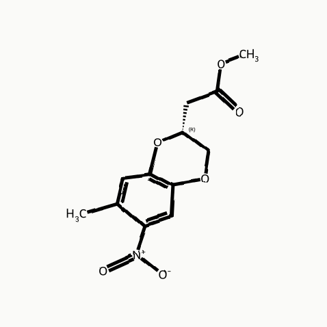 COC(=O)C[C@@H]1COc2cc([N+](=O)[O-])c(C)cc2O1